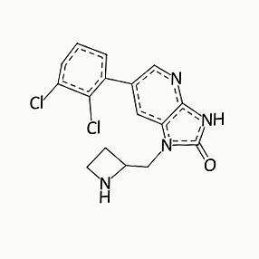 O=c1[nH]c2ncc(-c3cccc(Cl)c3Cl)cc2n1CC1CCN1